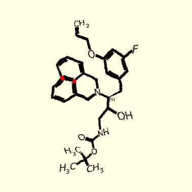 C=CCOc1cc(F)cc(C[C@@H](C(O)CNC(=O)OC(C)(C)C)N(Cc2ccccc2)Cc2ccccc2)c1